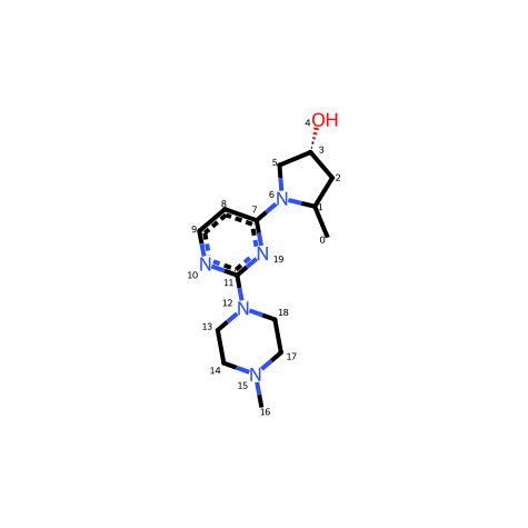 CC1C[C@@H](O)CN1c1ccnc(N2CCN(C)CC2)n1